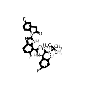 CC(C)(C)NC(=O)[C@@H](NC(=O)c1c(F)ccc2nc(N3C(=O)Cc4cc(F)ccc43)[nH]c12)c1cc(F)ccc1Cl